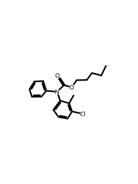 [CH2]CCCCOC(=O)N(c1ccccc1)c1cccc(Cl)c1C